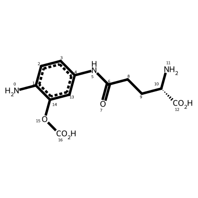 Nc1ccc(NC(=O)CC[C@H](N)C(=O)O)cc1OC(=O)O